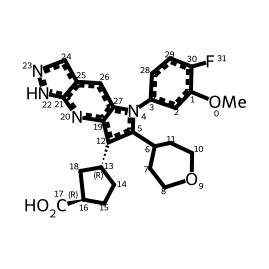 COc1cc(-n2c(C3CCOCC3)c([C@@H]3CC[C@@H](C(=O)O)C3)c3nc4[nH]ncc4cc32)ccc1F